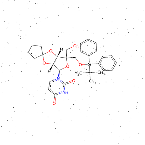 CC(C)(C)[Si](OC[C@@]1(CO)O[C@@H](n2ccc(=O)[nH]c2=O)[C@@H]2OC3(CCCC3)O[C@@H]21)(c1ccccc1)c1ccccc1